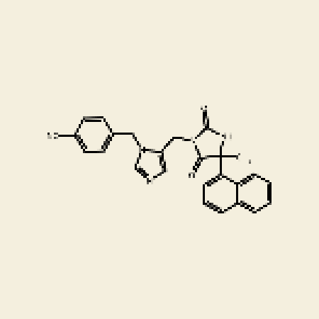 CC1(c2cccc3ccccc23)NC(=O)N(Cc2cncn2Cc2ccc(C#N)cc2)C1=O